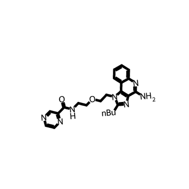 CCCCc1nc2c(N)nc3ccccc3c2n1CCOCCNC(=O)c1cnccn1